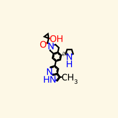 Cc1c[nH]c2ncc(-c3cc4c(c([C@@H]5CCCN5)c3)CCN(C(=O)C3(O)CC3)C4)cc12